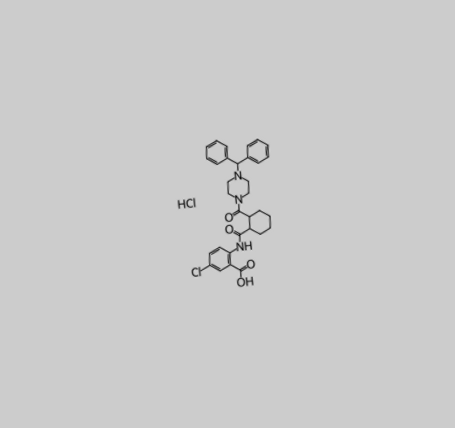 Cl.O=C(O)c1cc(Cl)ccc1NC(=O)C1CCCCC1C(=O)N1CCN(C(c2ccccc2)c2ccccc2)CC1